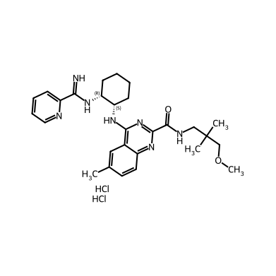 COCC(C)(C)CNC(=O)c1nc(N[C@H]2CCCC[C@H]2NC(=N)c2ccccn2)c2cc(C)ccc2n1.Cl.Cl